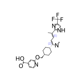 C=N/C(=C\C=C(/C)c1nc(C(F)(F)F)c[nH]1)[C@H]1CC[C@H](COc2cc(C(=O)O)ccn2)CC1